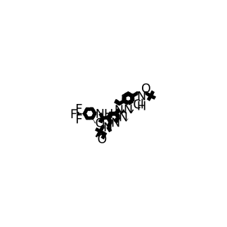 C=Cc1ccc(CNC(=O)C(C)(C)C)c(Cl)c1N(C)c1nc2cc(C(=O)NC3CC[C@@H](C(F)(F)F)C[C@H]3C)c(N(C)CC3(C)COC3)nc2n1C